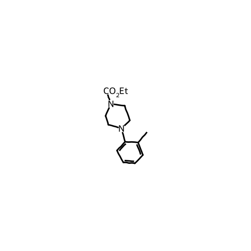 CCOC(=O)N1CCN(c2ccccc2C)CC1